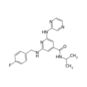 CC(C)NC(=O)c1cc(NCc2ccc(F)cc2)nc(Nc2cnccn2)c1